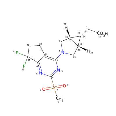 CS(=O)(=O)c1nc(N2C[C@@H]3[C@H](CC(=O)O)[C@@H]3C2)c2c(n1)C(F)(F)CC2